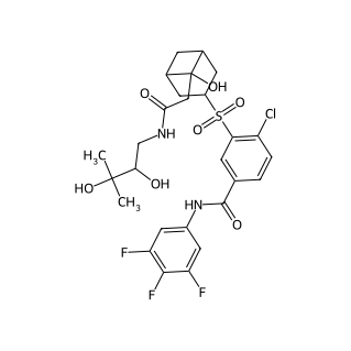 CC(C)(O)C(O)CNC(=O)CC1(O)C2CC1CC(S(=O)(=O)c1cc(C(=O)Nc3cc(F)c(F)c(F)c3)ccc1Cl)C2